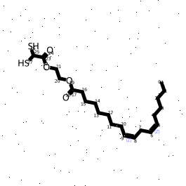 CCCCC/C=C\C/C=C\CCCCCCCC(=O)OCCOC(=O)C(S)S